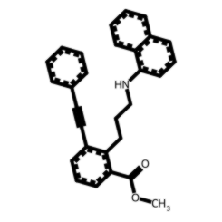 COC(=O)c1cccc(C#Cc2ccccc2)c1CCCNc1cccc2ccccc12